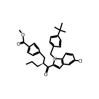 CCC[C@@H](Cc1ccc(C(=O)OC)cc1)C(=O)c1cc2cc(Cl)ccc2n1Cc1ccc(C(C)(C)C)cc1